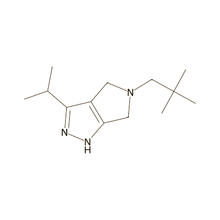 CC(C)c1n[nH]c2c1CN(CC(C)(C)C)C2